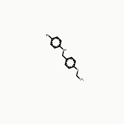 CCOc1ccc(CNc2ccc(Br)cc2)cc1